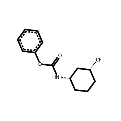 O=C(N[C@H]1CCC[C@@H](C(F)(F)F)C1)Oc1ccccc1